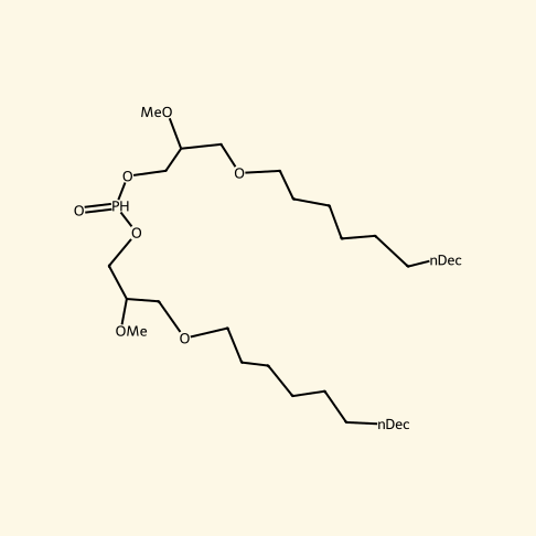 CCCCCCCCCCCCCCCCOCC(CO[PH](=O)OCC(COCCCCCCCCCCCCCCCC)OC)OC